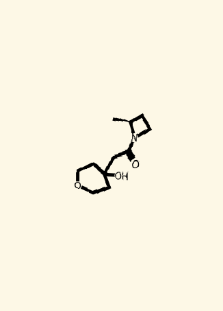 C[C@H]1CCN1C(=O)CC1(O)CCOCC1